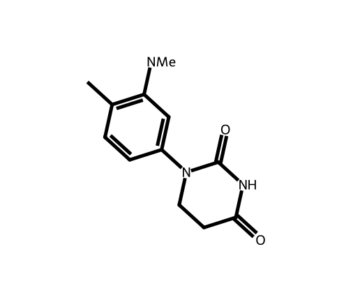 CNc1cc(N2CCC(=O)NC2=O)ccc1C